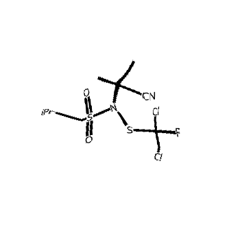 CC(C)S(=O)(=O)N(SC(F)(Cl)Cl)C(C)(C)C#N